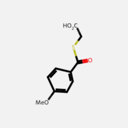 COc1ccc(C(=O)SCC(=O)O)cc1